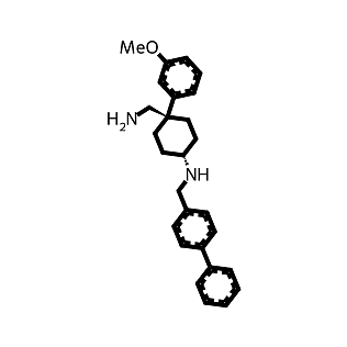 COc1cccc([C@]2(CN)CC[C@H](NCc3ccc(-c4ccccc4)cc3)CC2)c1